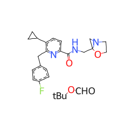 CC(C)(C)OC=O.O=C(NCC12CN1CCO2)c1ccc(C2CC2)c(Cc2ccc(F)cc2)n1